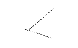 [CH2]CCC(CCCCCCCCCCCCCCCCCCC)CCCCCCCCCCCCCCCCCCCCCCCC